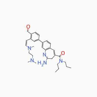 CCCN(CCC)C(=O)C1=Cc2ccc(-c3ccc(C=O)c(/C=C\N(C)CCN(C)C)c3)cc2N=C(N)C1